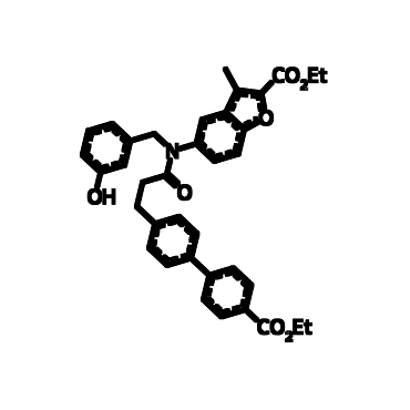 CCOC(=O)c1ccc(-c2ccc(CCC(=O)N(Cc3cccc(O)c3)c3ccc4oc(C(=O)OCC)c(C)c4c3)cc2)cc1